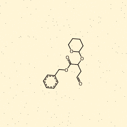 O=CCC(OC1CCCCO1)C(=O)OCc1ccccc1